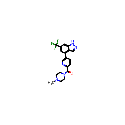 CN1CCN(C(=O)c2ccc(-c3cc(C(F)(F)F)cc4[nH]ncc34)cn2)CC1